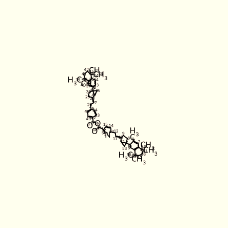 Cc1cc2c(cc1C13CCC(=CCc4ccc(C(=O)OC(=O)c5ccc(CC=C6CCC7(c8ccc9c(c8)C(C)(C)CCC9(C)C)CC67)cc5)cn4)C1C3)C(C)(C)CCC2(C)C